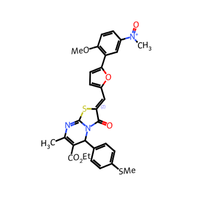 CCOC(=O)C1=C(C)N=c2s/c(=C\c3ccc(-c4cc([N+](C)=O)ccc4OC)o3)c(=O)n2C1c1ccc(SC)cc1